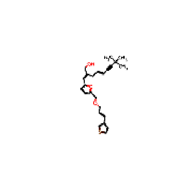 CC(C)(C)C#C/C=C/C/C(=C\c1ccc(COC/C=C/c2ccsc2)o1)CO